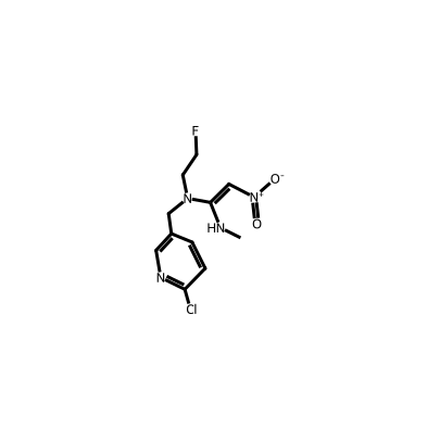 CNC(=C[N+](=O)[O-])N(CCF)Cc1ccc(Cl)nc1